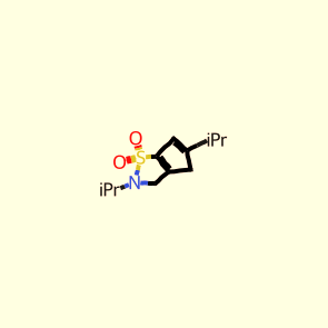 CC(C)C1=CC2=C(C1)CN(C(C)C)S2(=O)=O